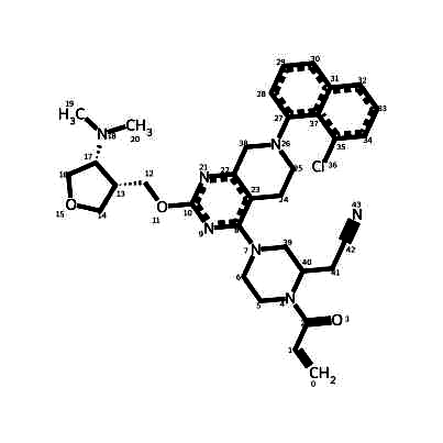 C=CC(=O)N1CCN(c2nc(OC[C@@H]3COC[C@@H]3N(C)C)nc3c2CCN(c2cccc4cccc(Cl)c24)C3)CC1CC#N